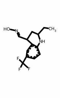 CCC1CC(C=NO)c2cc(C(F)(F)F)ccc2N1